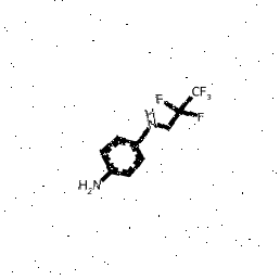 Nc1ccc(NCC(F)(F)C(F)(F)F)cc1